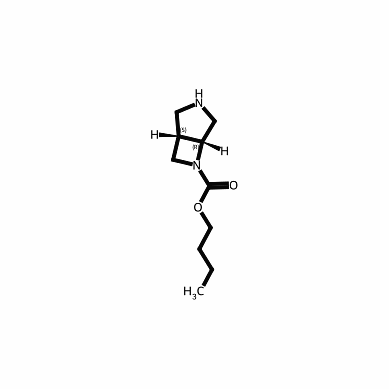 CCCCOC(=O)N1C[C@@H]2CNC[C@@H]21